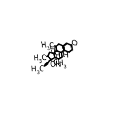 CC#CC1(O)C(C)C[C@H]2[C@@H]3C(C)CC4=C(CCC(=O)C4)[C@H]3CC[C@@]21C